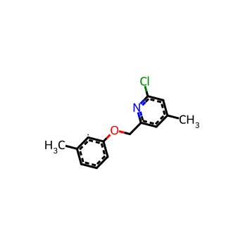 Cc1[c]c(OCc2cc(C)cc(Cl)n2)ccc1